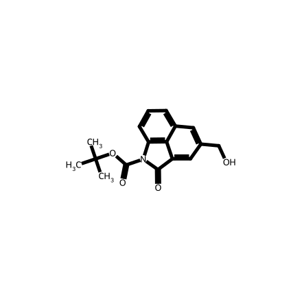 CC(C)(C)OC(=O)N1C(=O)c2cc(CO)cc3cccc1c23